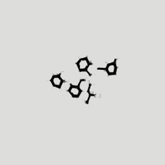 Cc1cccc(COc2ccccc2CN(CCC(N)C(=O)O)Cc2ccccc2Oc2ccccc2F)c1